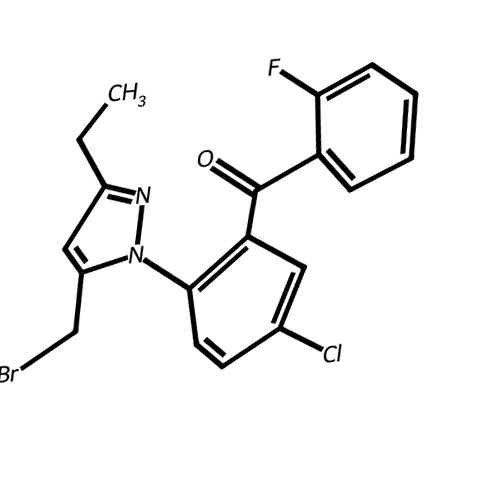 CCc1cc(CBr)n(-c2ccc(Cl)cc2C(=O)c2ccccc2F)n1